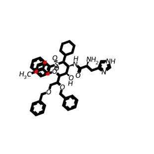 Cc1ccc(S(=O)(=O)C(C2CCCCC2)[C@@H](NC(=O)[C@@H](N)Cc2c[nH]cn2)[C@@H](O)C(OCc2ccccc2)C(COCc2ccccc2)OCc2ccccc2)cc1